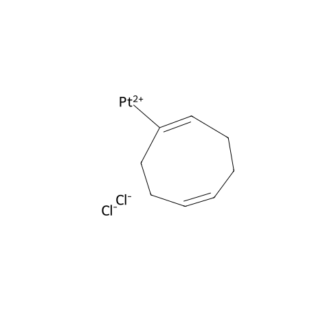 [Cl-].[Cl-].[Pt+2]/[C]1=C/CC/C=C\CC1